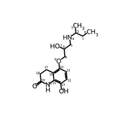 CCC(C)NCC(O)COc1ccc(O)c2c1CCC(=O)N2